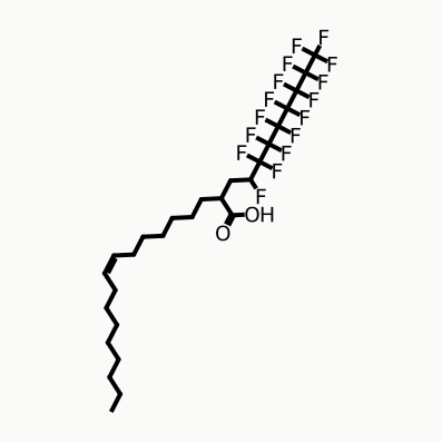 CCCCCCCC/C=C\CCCCCCC(CC(F)C(F)(F)C(F)(F)C(F)(F)C(F)(F)C(F)(F)C(F)(F)C(F)(F)F)C(=O)O